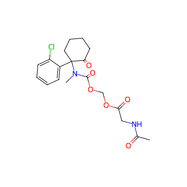 CC(=O)NCC(=O)OCOC(=O)N(C)C1(c2ccccc2Cl)CCCCC1=O